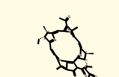 CC[C@H]1c2cc3[nH]c4c(c3C)C(=O)C(C(=O)OC)c4c3nc(cc4[nH]c(cc(n2)[C@@H]1C)c(C(C)=O)c4C)[C@@H](C)[C@@H]3CCC(C)=O